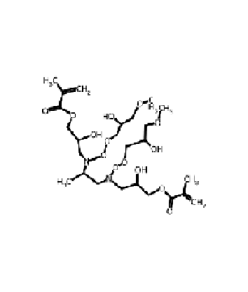 C=C(C)C(=O)OCC(O)CN(CC(C)N(CC(O)COC(=O)C(=C)C)OOCC(O)COC)OOCC(O)COC